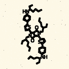 CCCCC(CC)CN1C(=O)C2=C(c3ccc(-c4ccc(NC(CC)CCCC)cc4)s3)N(CC(CC)CCCC)C(=O)C2=C1c1ccc(-c2ccc(NC(CC)CCCC)cc2)s1